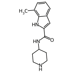 Cc1cccc2cc(C(=O)NC3CCNCC3)[nH]c12